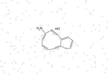 Cl.NC1=C/C=C\C=C2\CC=CC=C2/C=C\1